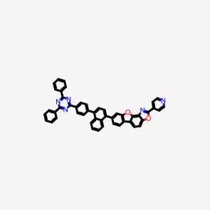 c1ccc(-c2nc(-c3ccccc3)nc(-c3ccc(-c4ccc(-c5ccc6c(c5)oc5c6ccc6oc(-c7ccncc7)nc65)c5ccccc45)cc3)n2)cc1